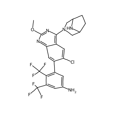 COc1nc(N2CC3CCC(C2)N3)c2cc(Cl)c(-c3cc(N)cc(C(F)(F)F)c3C(F)(F)F)cc2n1